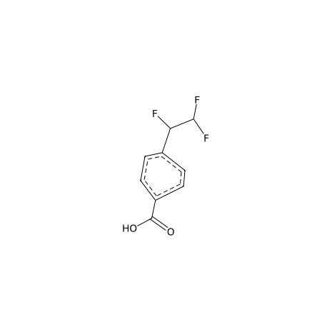 O=C(O)c1ccc(C(F)C(F)F)cc1